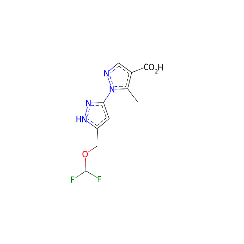 Cc1c(C(=O)O)cnn1-c1cc(COC(F)F)[nH]n1